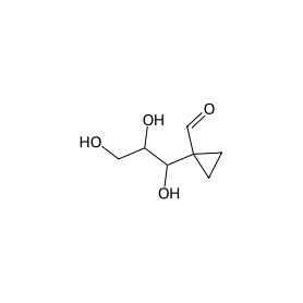 O=CC1(C(O)C(O)CO)CC1